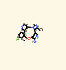 C[C@H]1Oc2cc(cnc2N)-c2c(C#N)ncn2Cc2ccncc2-c2ccc(F)cc21